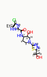 CCc1[nH]c(C(=O)NC2CCN(c3nnc(C(C)(C)O)s3)CC2O)nc1Cl